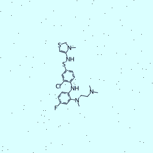 CN(C)CCN(C)c1cc(F)ccc1Nc1ccc(SNC2=CSCN2C)cc1Cl